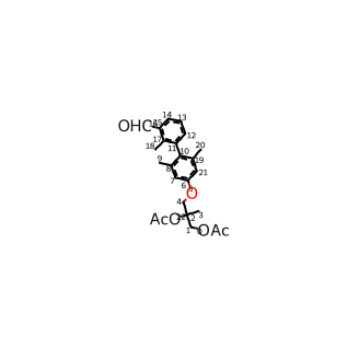 CC(=O)OCC(C)(COc1cc(C)c(-c2cccc(C=O)c2C)c(C)c1)OC(C)=O